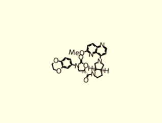 COc1ccc2nccc(N3C[C@H]4CCN(C(=O)[C@@H]5CN(c6ccc7c(c6)OCCO7)C(=O)O5)[C@H]4C3)c2n1